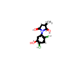 C=C1CC(=O)N(c2cc(O)c(Cl)cc2F)C1=O